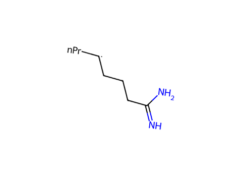 CCC[CH]CCCC(=N)N